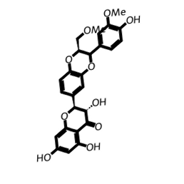 COC[C@@H]1Oc2ccc([C@@H]3Oc4cc(O)cc(O)c4C(=O)[C@H]3O)cc2OC1c1ccc(O)c(OC)c1